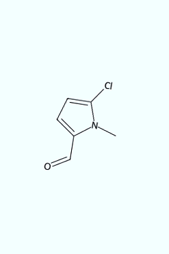 Cn1c(Cl)ccc1C=O